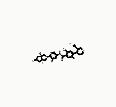 C#Cc1cnccc1-c1cc(Cl)c(C(=O)Nc2cnc(N3C[C@H]4CC(=O)C[C@H]4C3)c(Cl)c2)cc1F